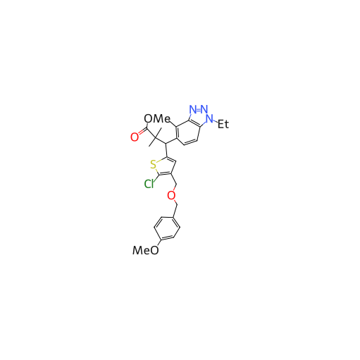 CCn1nnc2c(C)c(C(c3cc(COCc4ccc(OC)cc4)c(Cl)s3)C(C)(C)C(=O)OC)ccc21